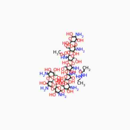 C=CC(=O)NNCCC.COC(=O)N[C@H]1[C@H](O[C@H]2[C@H](O)[C@@H](N)[C@H](O[C@H]3[C@H](O)[C@@H](N)[C@H](O)O[C@@H]3CO)O[C@@H]2CO)O[C@H](CO)[C@@H](O[C@@H]2O[C@H](CO)[C@@H](O[C@@H]3O[C@H](CO)[C@@H](O[C@@H]4O[C@H](CO)[C@@H](O[C@@H]5O[C@H](CO)[C@@H](O[C@@H]6O[C@H](CO)[C@@H](O[C@@H]7O[C@H](CO)[C@@H](O)[C@H](O)[C@H]7N)[C@H](O)[C@H]6N)[C@H](O)[C@H]5N)[C@H](O)[C@H]4N)[C@H](O)[C@H]3N)[C@H](O)[C@H]2N)[C@@H]1O